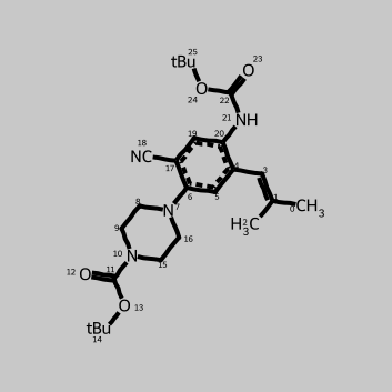 CC(C)=Cc1cc(N2CCN(C(=O)OC(C)(C)C)CC2)c(C#N)cc1NC(=O)OC(C)(C)C